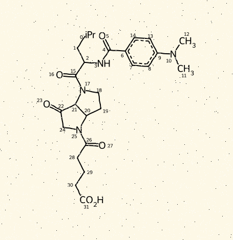 CC(C)CC(NC(=O)c1ccc(N(C)C)cc1)C(=O)N1CCC2C1C(=O)CN2C(=O)CCCC(=O)O